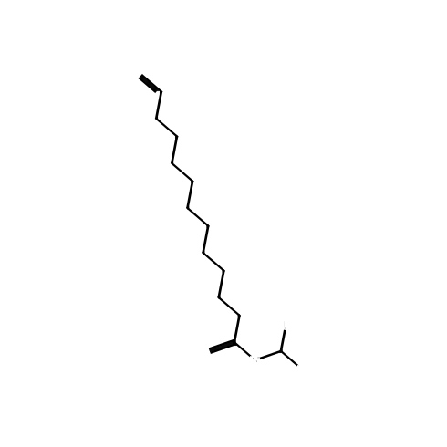 C=CCCCCCCCCCCC(=C)NC(CC)CC